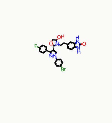 O=c1[nH]c2ccc(CCN3C(O)CO[C@@H]3c3cn(-c4ccc(Br)cc4)nc3-c3ccc(F)cc3)cc2[nH]1